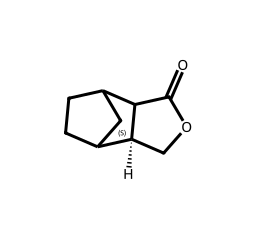 O=C1OC[C@H]2C3CCC(C3)C12